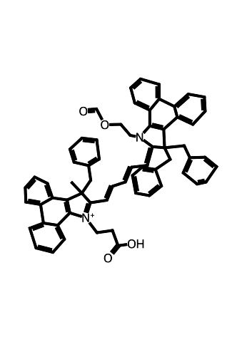 CC1(Cc2ccccc2)C(/C=C/C=C/C=C2\N(CCOC=O)c3c(c4ccccc4c4ccccc34)C2(Cc2ccccc2)Cc2ccccc2)=[N+](CCC(=O)O)c2c1c1ccccc1c1ccccc21